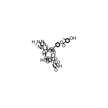 Cc1cc(O)ccc1C(=O)Oc1ccc(CS[P@]2(=O)OCC3O[C@@H](n4ccc(=O)[nH]c4=O)[C@H](OP(=O)(O)OC[C@H]4O[C@@H](n5cnc6c(N)ncnc65)[C@H](F)[C@@H]4O2)[C@@H]3F)cc1